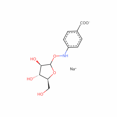 O=C([O-])c1ccc(NOC2O[C@@H](CO)[C@H](O)[C@H]2O)cc1.[Na+]